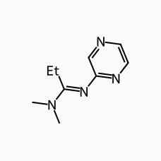 CC/C(=N\c1cnccn1)N(C)C